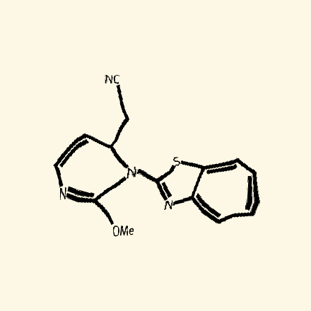 COC1=NC=CC(CC#N)N1c1nc2ccccc2s1